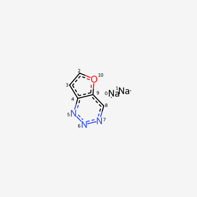 [Na].[Na].c1cc2nnncc2o1